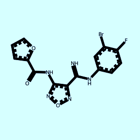 N=C(Nc1ccc(F)c(Br)c1)c1nonc1NC(=O)c1ccco1